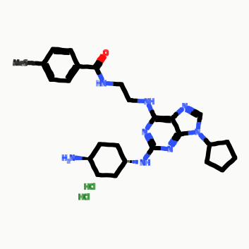 CSc1ccc(C(=O)NCCNc2nc(N[C@H]3CC[C@H](N)CC3)nc3c2ncn3C2CCCC2)cc1.Cl.Cl